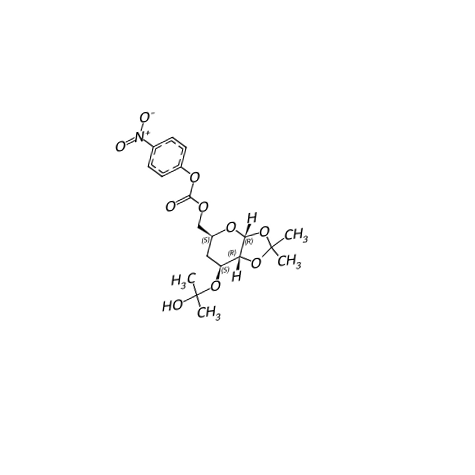 CC(C)(O)O[C@H]1C[C@@H](COC(=O)Oc2ccc([N+](=O)[O-])cc2)O[C@@H]2OC(C)(C)O[C@@H]21